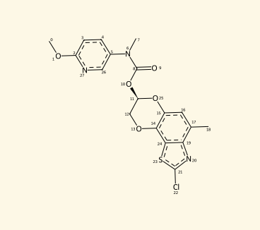 COc1ccc(N(C)C(=O)O[C@@H]2COc3c(cc(C)c4nc(Cl)sc34)O2)cn1